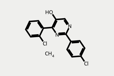 C.Oc1cnc(-c2ccc(Cl)cc2)nc1-c1ccccc1Cl